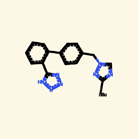 CCCCc1ncn(Cc2ccc(-c3ccccc3-c3nnn[nH]3)cc2)n1